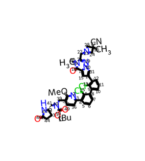 COc1nc(-c2cccc(-c3cccc(-c4cc5c(=O)n(C)c(CN6CC(C)(C#N)C6)nn5c4)c3Cl)c2Cl)ccc1CN(C[C@@H]1CCC(=O)N1)C(=O)OC(C)(C)C